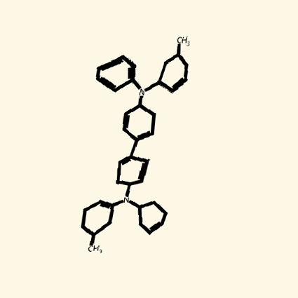 CC1CCC=C(N(C2C=CC(C3=CCC(N(c4ccccc4)C4C=CCC(C)C4)C=C3)=CC2)C2CC=CCC2)C1